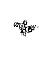 COc1c(F)cccc1Nc1c(-c2ccncc2OC[C@@H]2COC(C)(C)CO2)[nH]c2c1C(=O)N[C@@H]1C[C@H]21